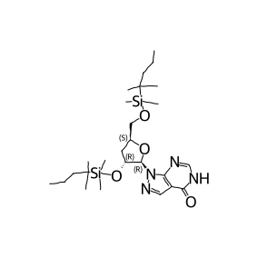 CCCC(C)(C)[Si](C)(C)OC[C@@H]1C[C@@H](O[Si](C)(C)C(C)(C)CCC)[C@H](n2ncc3c(=O)[nH]cnc32)O1